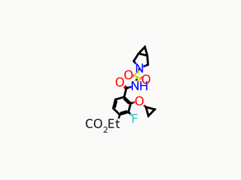 CCOC(=O)c1ccc(C(=O)NS(=O)(=O)N2CC3CC3C2)c(OC2CC2)c1F